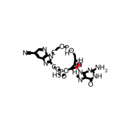 N#Cc1cnc2c(c1)nc1n2CCOPOC[C@H]2O[C@@H](n3cnc4c(=O)[nH]c(N)nc43)[C@H](OP(=O)(S)OC1)[C@@H]2F